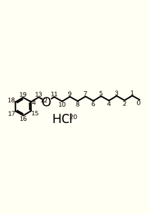 CCCCCCCCCCCCOCc1ccccc1.Cl